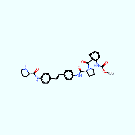 CC(C)(C)OC(=O)Nc1ccccc1C(=O)N1CCC[C@H]1C(=O)Nc1ccc(/C=C/c2ccc(NC(=O)[C@@H]3CCCN3)cc2)cc1